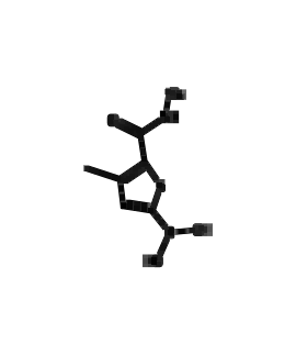 Cc1cc(B(O)O)sc1C(=O)NC(C)(C)C